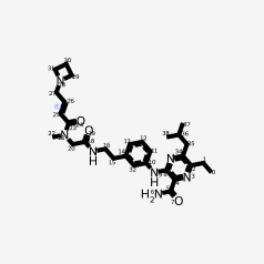 CCc1nc(C(N)=O)c(Nc2cccc(CCNC(=O)CN(C)C(=O)/C=C/CN3CCC3)c2)nc1CC(C)C